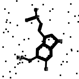 COc1cc2c(C=C[N+](=O)[O-])c[nH]c2cc1Cl